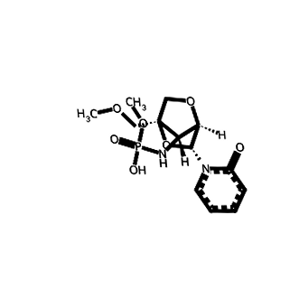 COC[C@@]12CO[C@@H]([C@H](n3ccccc3=O)O1)[C@@H]2NP(=O)(O)OC